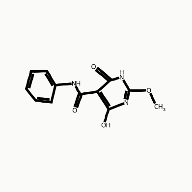 COc1nc(O)c(C(=O)Nc2ccccc2)c(=O)[nH]1